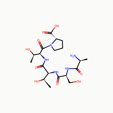 C[C@H](N)C(=O)N[C@@H](CO)C(=O)N[C@H](C(=O)N[C@H](C(=O)N1CCC[C@H]1C(=O)O)[C@@H](C)O)[C@@H](C)O